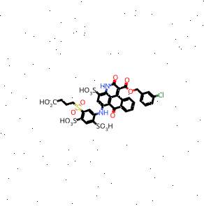 O=C(O)CCCS(=O)(=O)c1cc(Nc2cc(S(=O)(=O)O)c3[nH]c(=O)c(C(=O)OCc4cccc(Cl)c4)c4c3c2C(=O)c2ccccc2-4)c(S(=O)(=O)O)cc1S(=O)(=O)O